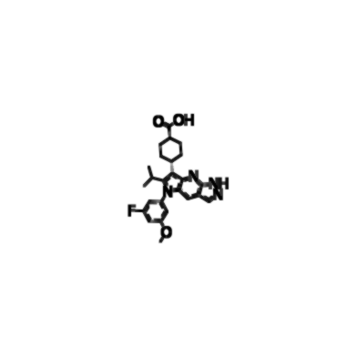 COc1cc(F)cc(-n2c(C(C)C)c([C@H]3CC[C@H](C(=O)O)CC3)c3nc4[nH]ncc4cc32)c1